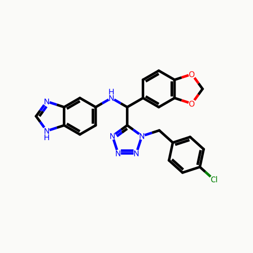 Clc1ccc(Cn2nnnc2C(Nc2ccc3[nH]cnc3c2)c2ccc3c(c2)OCO3)cc1